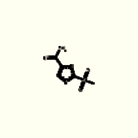 CS(=O)(=O)c1nc(C(N)=O)cs1